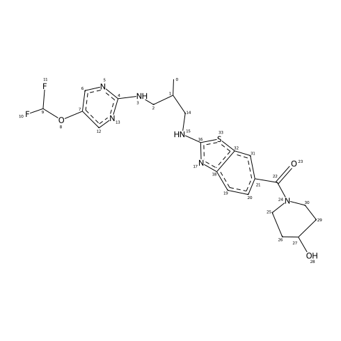 CC(CNc1ncc(OC(F)F)cn1)CNc1nc2ccc(C(=O)N3CCC(O)CC3)cc2s1